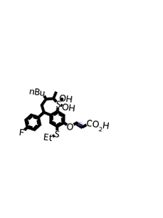 CCCCC1CC(c2ccc(F)cc2)c2cc(SCC)c(O/C=C/C(=O)O)cc2S(O)(O)C1C